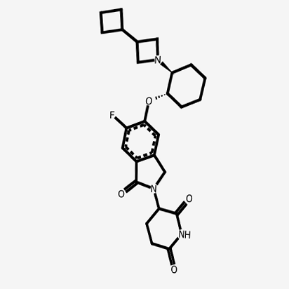 O=C1CCC(N2Cc3cc(O[C@H]4CCCC[C@@H]4N4CC(C5CCC5)C4)c(F)cc3C2=O)C(=O)N1